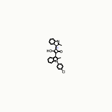 CC1=Nc2ccccc2/C1=C1/C(=O)C(c2c(C)n(-c3ccc(Cl)cc3)c3ccccc23)=C1O